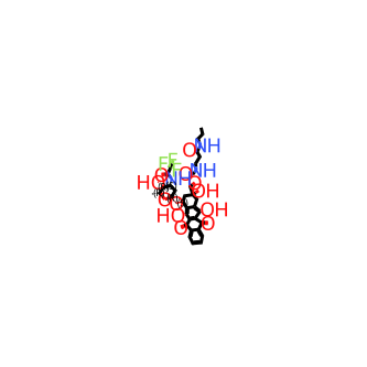 CCCNC(=O)CCNC(=O)OCC1(O)Cc2c(O)c3c(c(O)c2[C@@H](O[C@H]2C[C@H](NC(=O)C(F)(F)F)[C@@H](O)[C@@H](C)O2)C1)C(=O)c1ccccc1C3=O